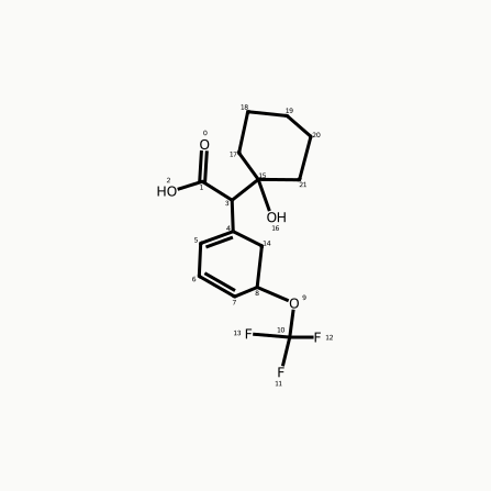 O=C(O)C(C1=CC=CC(OC(F)(F)F)C1)C1(O)CCCCC1